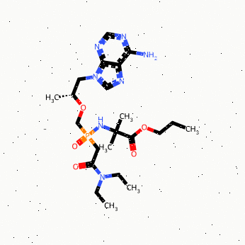 CCCOC(=O)C(C)(C)NP(=O)(CO[C@H](C)Cn1cnc2c(N)ncnc21)CC(=O)N(CC)CC